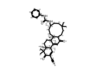 CC1(C)CCC2C(=O)C=C3[C@@]4(C)C=C(C#N)C(=O)C(C)(C)[C@@H]4CC[C@@]3(C)[C@]2(C)CC[C@@](C)(NC(=O)Nc2ccccc2)CC1